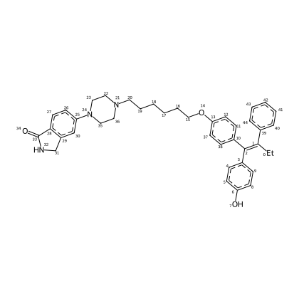 CC/C(=C(\c1ccc(O)cc1)c1ccc(OCCCCCCN2CCN(c3ccc4c(c3)CNC4=O)CC2)cc1)c1ccccc1